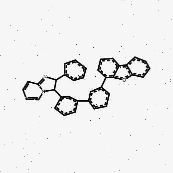 C1=CC2=NC(c3ccccc3)C(c3cccc(-c4cccc(-c5cccc6c5oc5ccccc56)c4)c3)N2C=C1